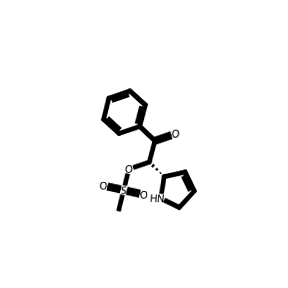 CS(=O)(=O)OC(C(=O)c1ccccc1)[C@@H]1C=CCN1